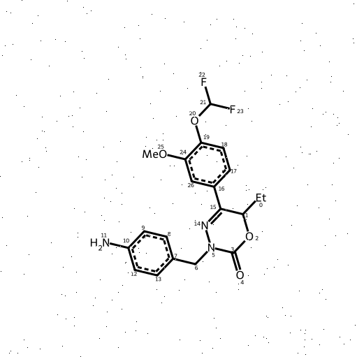 CCC1OC(=O)N(Cc2ccc(N)cc2)N=C1c1ccc(OC(F)F)c(OC)c1